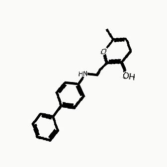 CC1=CCC(O)=C(CNc2ccc(-c3ccccc3)cc2)O1